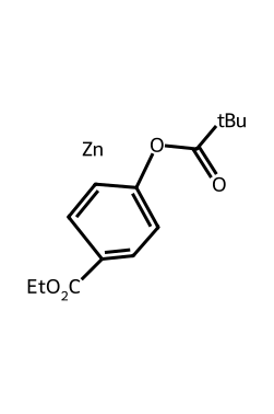 CCOC(=O)c1ccc(OC(=O)C(C)(C)C)cc1.[Zn]